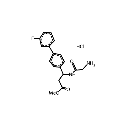 COC(=O)CC(NC(=O)CN)c1ccc(-c2cccc(F)c2)cc1.Cl